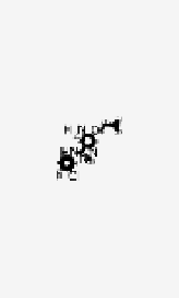 Nc1cc2c(Nc3ccc(F)c(Cl)c3)ncnc2cc1OCCC1CC1